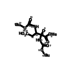 COC(=O)C([O])(NC(=O)OC(C)(C)C)C(CC(=O)O)NC(=O)OC(C)(C)C